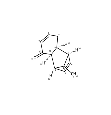 CC1[C@H]2C=C[C@@H]1[C@@H]1CC=CC(=O)[C@@H]12